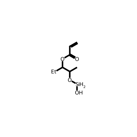 C=CC(=O)OC(CC)C(C)O[SiH2]O